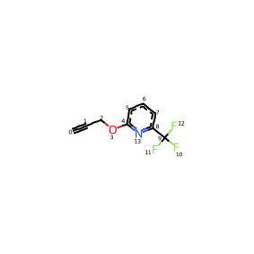 C#CCOc1cccc(C(F)(F)F)n1